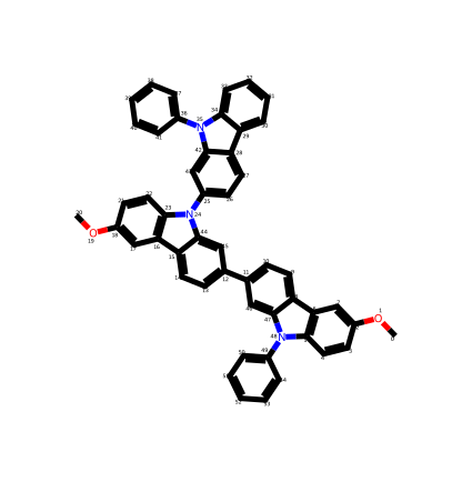 COc1ccc2c(c1)c1ccc(-c3ccc4c5cc(OC)ccc5n(-c5ccc6c7ccccc7n(-c7ccccc7)c6c5)c4c3)cc1n2-c1ccccc1